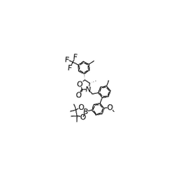 COc1ccc(B2OC(C)(C)C(C)(C)O2)cc1-c1ccc(C)cc1CN1C(=O)O[C@H](c2cc(C)cc(C(F)(F)F)c2)[C@@H]1C